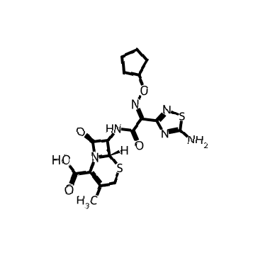 CC1=C(C(=O)O)N2C(=O)C(NC(=O)C(=NOC3CCCC3)c3nsc(N)n3)[C@@H]2SC1